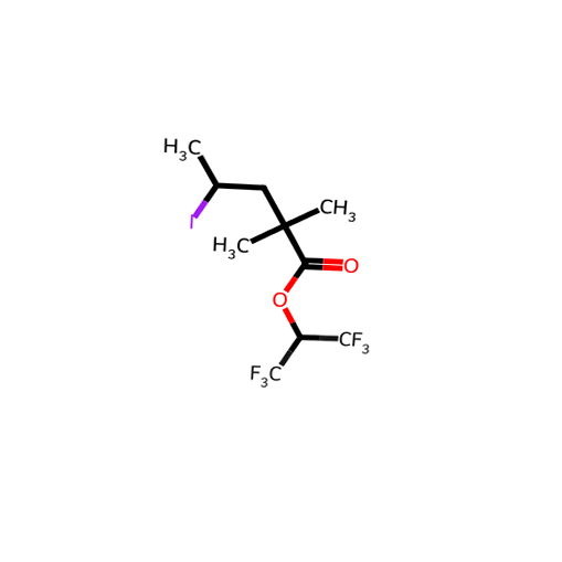 CC(I)CC(C)(C)C(=O)OC(C(F)(F)F)C(F)(F)F